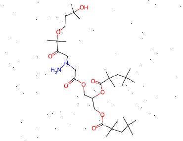 CC(C)(C)CC(C)(C)C(=O)OCC(COC(=O)CN(N)CC(=O)C(C)(C)OCCC(C)(C)O)OC(=O)C(C)(C)CC(C)(C)C